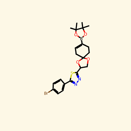 CC1(C)OB(C2=CCC3(CC2)OCC(c2nnc(-c4ccc(Br)cc4)s2)O3)OC1(C)C